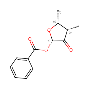 CC[C@H]1O[C@@H](OC(=O)c2ccccc2)C(=O)[C@H]1C